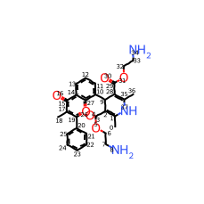 CC1=C(C(=O)OCCN)C(c2cccc3c(=O)c(C)c(-c4ccccc4)oc23)C(C(=O)OCCN)=C(C)N1